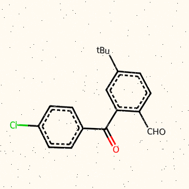 CC(C)(C)c1ccc(C=O)c(C(=O)c2ccc(Cl)cc2)c1